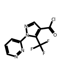 O=C(Cl)c1cnn(-c2cccnn2)c1C(F)(F)F